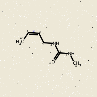 C/C=C\CNC(=O)NC